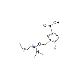 C/C=C\C=C(\OCc1cc(C(=O)O)ccc1F)N(C)C